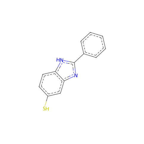 Sc1ccc2[nH]c(-c3ccccc3)nc2c1